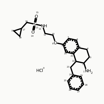 Cl.NC1CCc2ccc(OCCNS(=O)(=O)CC3CC3)cc2C1Cc1ccccc1